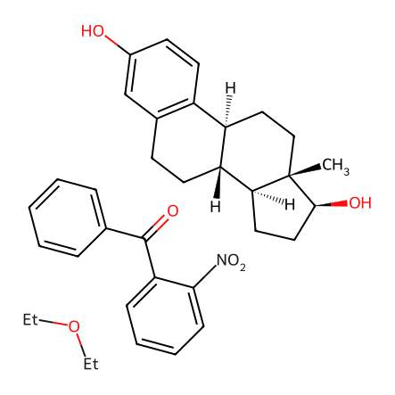 CCOCC.C[C@]12CC[C@@H]3c4ccc(O)cc4CC[C@H]3[C@@H]1CC[C@@H]2O.O=C(c1ccccc1)c1ccccc1[N+](=O)[O-]